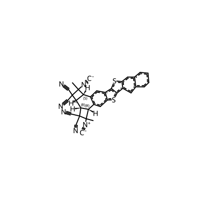 [C-]#[N+]C1(C)[C@@H]2c3cc4c(cc3[C@H]3[C@@H]([C@@H]2C1(C#N)C#N)C(C#N)(C#N)C3(C)[N+]#[C-])sc1c2cc3ccccc3cc2sc41